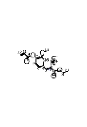 [C-]#[N+]/C(=C\c1ccc(OC(=O)C=C)c(OC)c1)C(=O)OCC